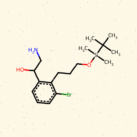 CC(C)(C)[Si](C)(C)OCCCc1c(Br)cccc1C(O)CN